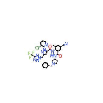 Cc1cc(C#N)cc(C(=O)NC2CCN(Cc3ccccc3)C2)c1NC(=O)c1cc(Cn2nnc(C(F)(F)F)n2)nn1-c1ncccc1Cl